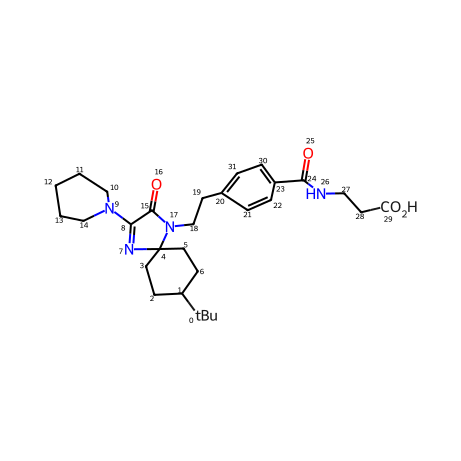 CC(C)(C)C1CCC2(CC1)N=C(N1CCCCC1)C(=O)N2CCc1ccc(C(=O)NCCC(=O)O)cc1